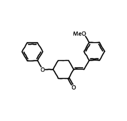 COc1cccc(C=C2CCC(Oc3ccccc3)CC2=O)c1